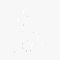 CC[C@@H](C(=O)NCc1cc(Cl)ccc1F)c1ccc(Br)cc1